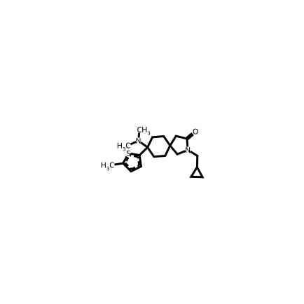 Cc1ccc(C2(N(C)C)CCC3(CC2)CC(=O)N(CC2CC2)C3)s1